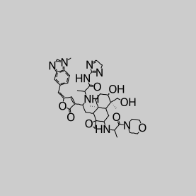 CC(NC(CC1C2(CO2)C(NC(C)C(=O)N2CCOCC2)CC2[C@]1(C)CC[C@@H](O)[C@@]2(C)CO)C1=C/C(=C\c2ccc3c(c2)ncn3C)OC1=O)C(=O)NC1=NCC=N1